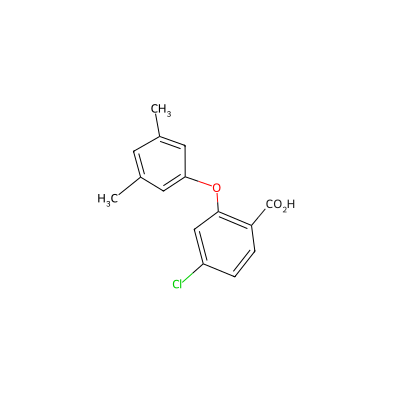 Cc1cc(C)cc(Oc2cc(Cl)ccc2C(=O)O)c1